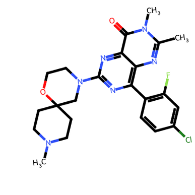 Cc1nc2c(-c3ccc(Cl)cc3F)nc(N3CCOC4(CCN(C)CC4)C3)nc2c(=O)n1C